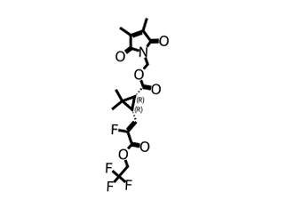 CC1=C(C)C(=O)N(COC(=O)[C@@H]2[C@H](C=C(F)C(=O)OCC(F)(F)F)C2(C)C)C1=O